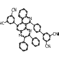 N#Cc1cc(C#N)cc(-c2ccc(-c3nc4ccccc4c4c(-c5cc(C#N)cc(C#N)c5)cc5nc(-c6ccccc6)c(-c6ccccc6)nc5c34)cc2)c1